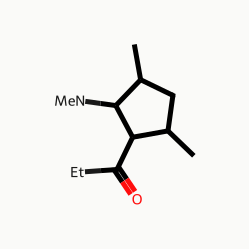 CCC(=O)C1C(C)CC(C)C1NC